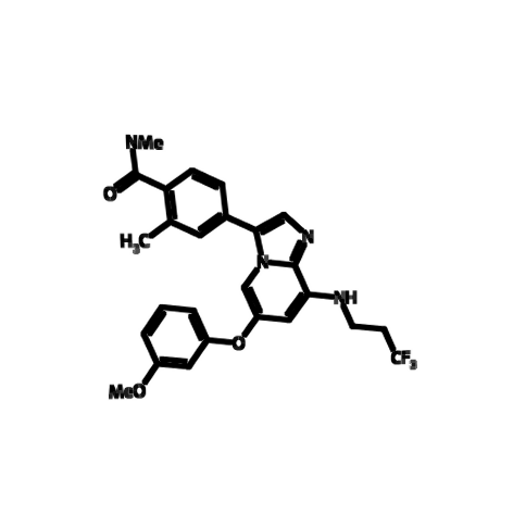 CNC(=O)c1ccc(-c2cnc3c(NCCC(F)(F)F)cc(Oc4cccc(OC)c4)cn23)cc1C